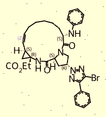 CCOC(=O)[C@@]12C[C@H]1/C=C\CCCCC[C@H](Nc1ccccc1)C(=O)N1C[C@H](n3nc(Br)c(-c4ccccc4)n3)C[C@H]1C(=O)N2